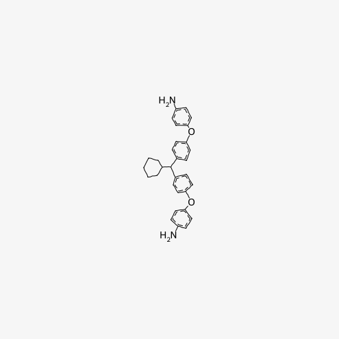 Nc1ccc(Oc2ccc(C(c3ccc(Oc4ccc(N)cc4)cc3)C3CCCCC3)cc2)cc1